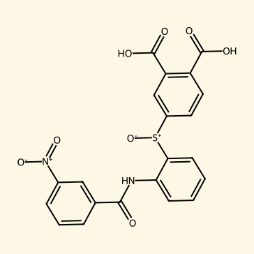 O=C(Nc1ccccc1[S+]([O-])c1ccc(C(=O)O)c(C(=O)O)c1)c1cccc([N+](=O)[O-])c1